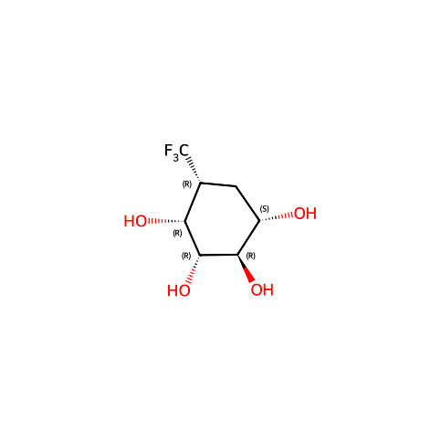 O[C@@H]1[C@H](O)[C@H](C(F)(F)F)C[C@H](O)[C@H]1O